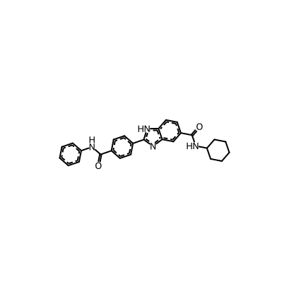 O=C(Nc1ccccc1)c1ccc(-c2nc3cc(C(=O)NC4CCCCC4)ccc3[nH]2)cc1